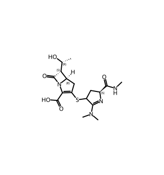 CNC(=O)[C@@H]1CC(SC2=C(C(=O)O)N3C(=O)[C@H]([C@@H](C)O)[C@H]3C2)C(N(C)C)=N1